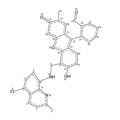 Cc1ccc2c(Cl)ccc(NCc3c(O)ccc4c(-c5ccccc5C=O)c5cc(C)c(=O)cc-5oc34)c2n1